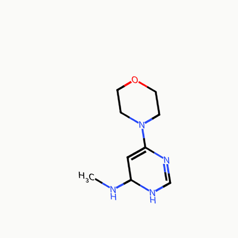 CNC1C=C(N2CCOCC2)N=CN1